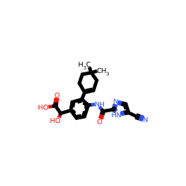 CC1(C)CC=C(c2cc(C(O)C(=O)O)ccc2NC(=O)c2ncc(C#N)[nH]2)CC1